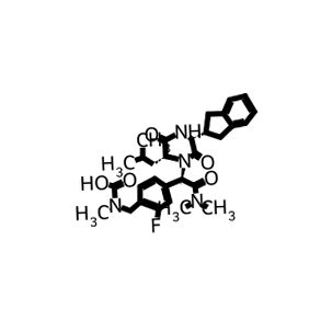 CC(C)C[C@@H]1C(=O)N[C@H](C2Cc3ccccc3C2)C(=O)N1[C@@H](C(=O)N(C)C)c1ccc(CN(C)C(=O)O)c(F)c1